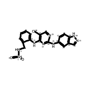 O=[SH](=O)NCc1ccccc1Nc1nc(Nc2ccc3[nH]ncc3c2)ncc1Cl